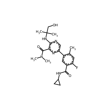 Cc1cc(F)c(C(=O)NC2CC2)cc1-c1cnc(NC(C)(C)CO)c(C(=O)N(C)C)n1